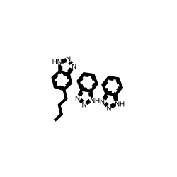 CCCCc1ccc2[nH]nnc2c1.c1ccc2[nH]nnc2c1.c1ccc2[nH]nnc2c1